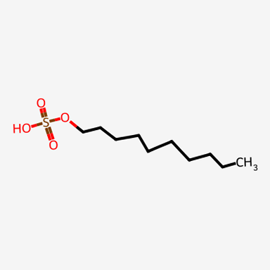 CCCCCCCCCCOS(=O)(=O)O